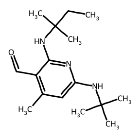 CCC(C)(C)Nc1nc(NC(C)(C)C)cc(C)c1C=O